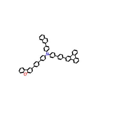 c1ccc2cc(-c3ccc(N(c4ccc(-c5ccc(-c6ccc7oc8ccccc8c7c6)cc5)cc4)c4ccc(-c5ccc(-c6ccc7c8ccccc8c8ccccc8c7c6)cc5)cc4)cc3)ccc2c1